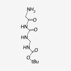 CC(C)(C)OC(=O)NCNC(=O)NC(=O)CN